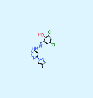 Cc1cnn(-c2cc(N/N=C/c3cc(Cl)cc(Cl)c3O)ncn2)c1